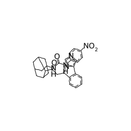 O=C(Nc1ccc([N+](=O)[O-])cc1)NC12CC3CC(C1)C(C(=O)CC1c4ccccc4-c4cncn41)C(C3)C2